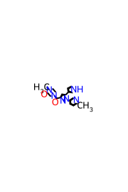 Cc1ccc(-n2nc(C(=O)N3CCN(C)C(=O)C3)cc2-c2cc[nH]c2)cn1